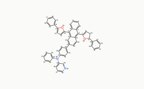 C1=C(c2c3ccccc3c(-c3ccc(-c4ccccc4)o3)c3cc(-c4ccc(N(c5ccccc5)c5cccnc5)cc4)ccc23)OC(c2ccccc2)C1